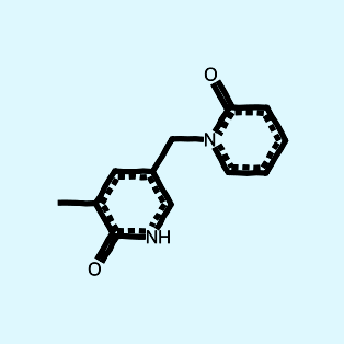 Cc1cc(Cn2ccccc2=O)c[nH]c1=O